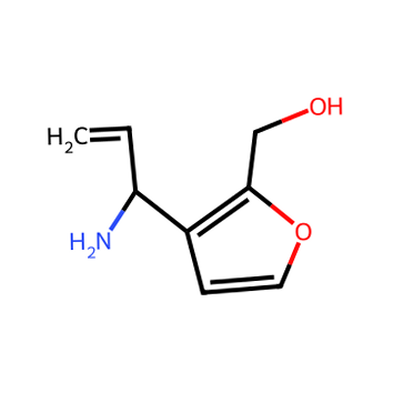 C=CC(N)c1ccoc1CO